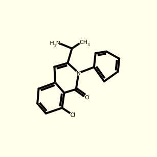 CC(N)c1cc2cccc(Cl)c2c(=O)n1-c1ccccc1